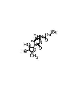 CCC(C)COC(=O)Nc1nc(=O)n([C@@H]2O[C@H](C)[C@@H](O)[C@H]2O)cc1F